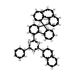 c1ccc(-c2nc(-c3ccc4ccccc4c3)nc(-c3cccc4c3-c3ccccc3C43c4cccc5ccc6cccc3c6c45)n2)cc1